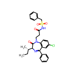 CC[C@H](C)C1N=C(c2ccccc2)c2cc(Cl)ccc2N(CCC(=O)NS(=O)(=O)Cc2ccccc2)C1=O